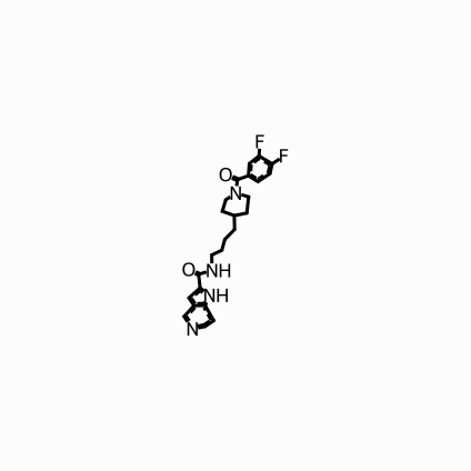 O=C(NCCCCC1CCN(C(=O)c2ccc(F)c(F)c2)CC1)c1cc2cnccc2[nH]1